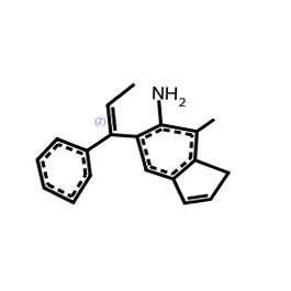 C/C=C(/c1ccccc1)c1cc2c(c(C)c1N)CC=C2